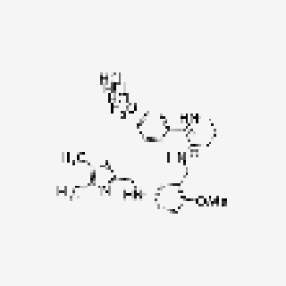 COc1ccc(NCc2nc(C)c(C)s2)cc1CN[C@H]1CCCN[C@H]1c1ccccc1.Cl.Cl.Cl.O